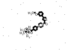 CCOc1cccc(-c2csc(C(=O)N3CCN(c4ccc(C(=O)NS(=O)(=O)C(C)(C)C)cc4)CC3)c2)c1